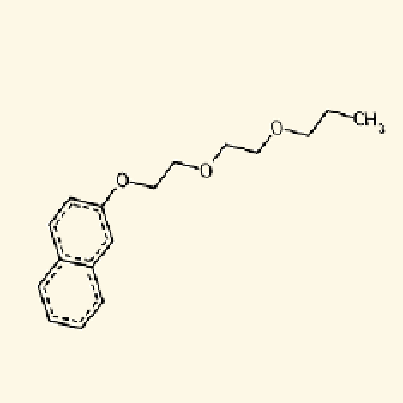 CCCOCCOCCOc1ccc2ccccc2c1